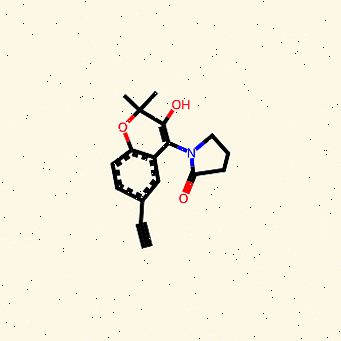 C#Cc1ccc2c(c1)C(N1CCCC1=O)=C(O)C(C)(C)O2